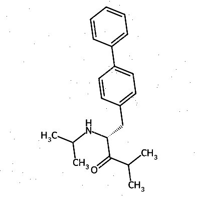 CC(C)N[C@H](Cc1ccc(-c2ccccc2)cc1)C(=O)C(C)C